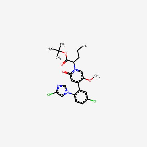 CCCC(C(=O)OC(C)(C)C)n1cc(OC)c(-c2cc(Cl)ccc2-n2cnc(Cl)c2)cc1=O